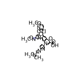 CO/N=C1\C[C@H](COc2nc(OC)ccc2Cl)N(c2cc3c(cc2Cl)c(=O)c(C(=O)O)cn3-c2ccc(N3CC(N(C)C)C3)nc2)C1